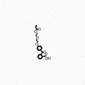 C=CC(=O)OCCOCCOc1ccc(C(=O)c2ccccc2C(=O)O)cc1